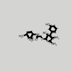 Cc1ccc(NC(=O)CSc2nc(N)c(N)c(-c3cccc(O)c3)c2C#N)c(C)c1